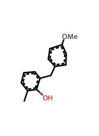 COc1ccc(Cc2cccc(C)c2O)cc1